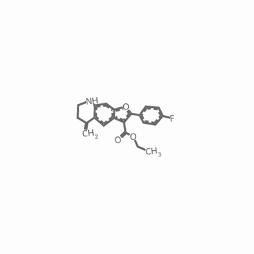 C=C1CCNc2cc3oc(-c4ccc(F)cc4)c(C(=O)OCC)c3cc21